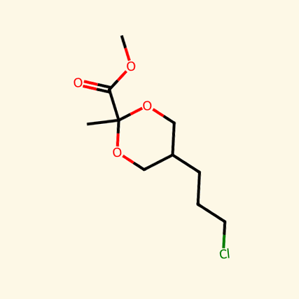 COC(=O)C1(C)OCC(CCCCl)CO1